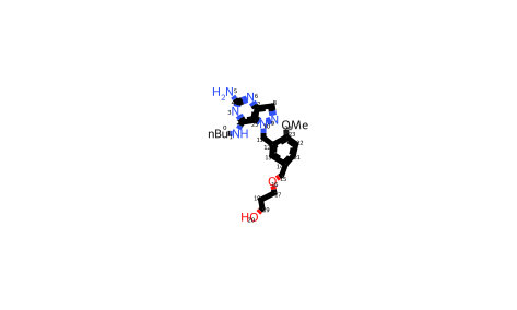 CCCCNc1nc(N)nc2cnn(Cc3cc(COCCCO)ccc3OC)c12